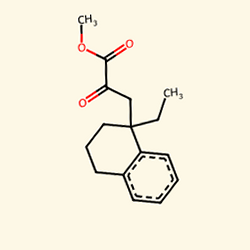 CCC1(CC(=O)C(=O)OC)CCCc2ccccc21